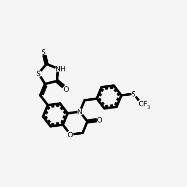 O=C1NC(=S)SC1=Cc1ccc2c(c1)N(Cc1ccc(SC(F)(F)F)cc1)C(=O)CO2